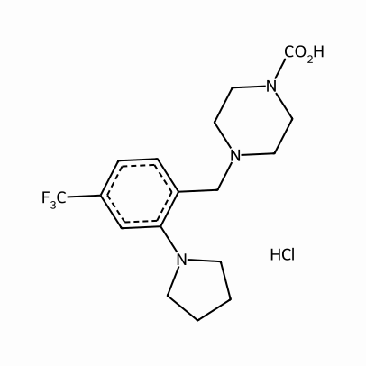 Cl.O=C(O)N1CCN(Cc2ccc(C(F)(F)F)cc2N2CCCC2)CC1